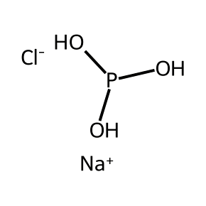 OP(O)O.[Cl-].[Na+]